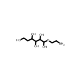 NCCOC(O)C(O)C(O)C(O)CCO